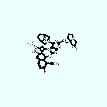 C#Cc1c(F)ccc2cc(O)cc(Oc3nc4nc(OC[C@@]56CCCN5C[C@H](F)C6)nc(N5CC6CCC(C5)N6)c4n3C3CC(OC)C3)c12